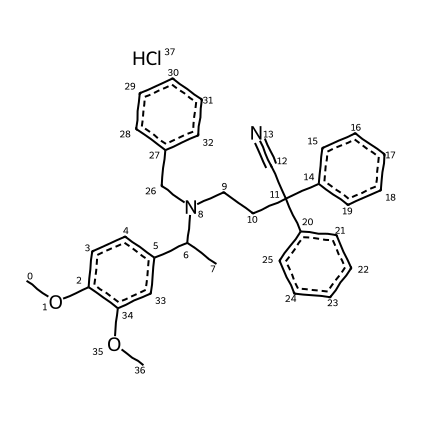 COc1ccc(C(C)N(CCC(C#N)(c2ccccc2)c2ccccc2)Cc2ccccc2)cc1OC.Cl